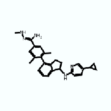 CN/N=C(\N)c1cc(C)c(-c2cccc3c2CCC3Nc2ccc(C3CC3)cn2)c(C)c1